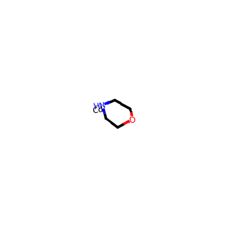 C1COCCN1.[Cd]